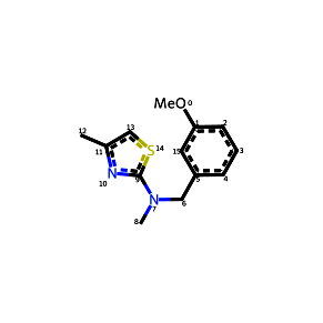 COc1cccc(CN(C)c2nc(C)cs2)c1